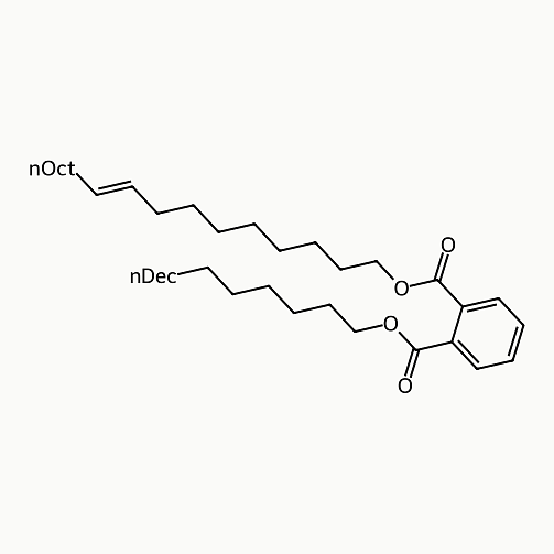 CCCCCCCCC=CCCCCCCCCOC(=O)c1ccccc1C(=O)OCCCCCCCCCCCCCCCC